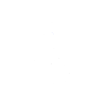 CN(C)CC1CCCC2(CC1=O)OCCCO2